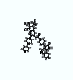 Nc1c(Cl)cc(CC(CC(=O)N2CCC(n3c(=O)[nH]c4c5ccccc5ncc43)CC2)C(=O)N2CCN(C3CCOCC3)CC2)cc1C(F)(F)F